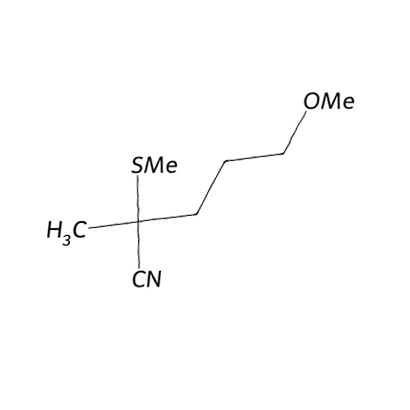 COCCCC(C)(C#N)SC